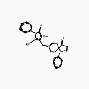 CCn1c(CN2CCC3(CC2)C(=O)CCN3c2ccccc2)c(C)c(=O)n1-c1ccccc1